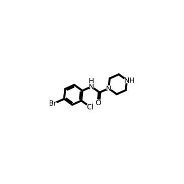 O=C(Nc1ccc(Br)cc1Cl)N1CCNCC1